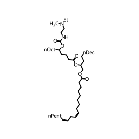 CC[CH]CCCCCCCCCC(COC(=O)CCCCCCC/C=C\C/C=C\CCCCC)OC(=O)CCCC(CCCCCCCC)OC(=O)NCCN(C)CC